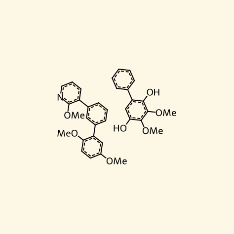 COc1c(O)cc(-c2ccccc2)c(O)c1OC.COc1ccc(OC)c(-c2cccc(-c3cccnc3OC)c2)c1